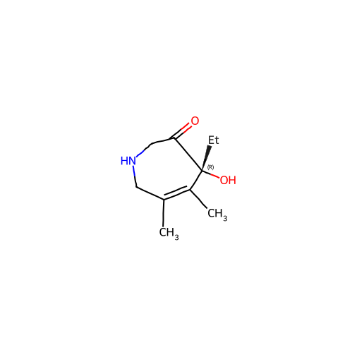 CC[C@]1(O)C(=O)CNCC(C)=C1C